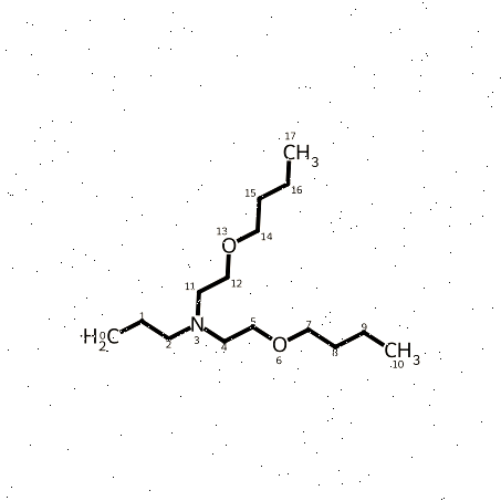 [CH2]CCN(CCOCCCC)CCOCCCC